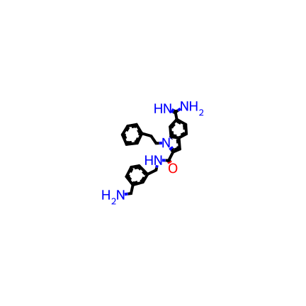 N=C(N)c1ccc2cc(C(=O)NCc3cccc(CN)c3)n(CCc3ccccc3)c2c1